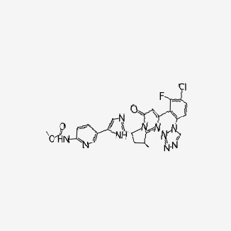 COC(=O)Nc1ccc(-c2cnc([C@H]3C[C@H](C)c4nc(-c5c(-n6cnnn6)ccc(Cl)c5F)cc(=O)n43)[nH]2)cn1